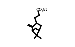 C=C1C(CCC(=O)OCC)CC2CC1C2(C)C